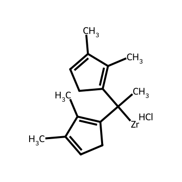 CC1=CCC([C](C)([Zr])C2=C(C)C(C)=CC2)=C1C.Cl